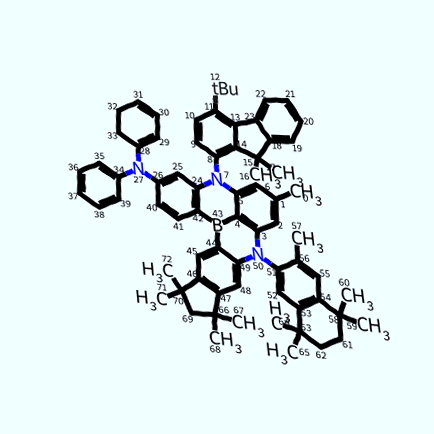 Cc1cc2c3c(c1)N(c1ccc(C(C)(C)C)c4c1C(C)(C)c1ccccc1-4)c1cc(N(C4=CC=CCC4)c4ccccc4)ccc1B3c1cc3c(cc1N2c1cc2c(cc1C)C(C)(C)CCC2(C)C)C(C)(C)CC3(C)C